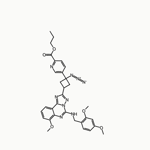 CCCOC(=O)c1ccc(C2(N=[N+]=[N-])CC(c3nc4c5cccc(OC)c5nc(NCc5ccc(OC)cc5OC)n4n3)C2)cn1